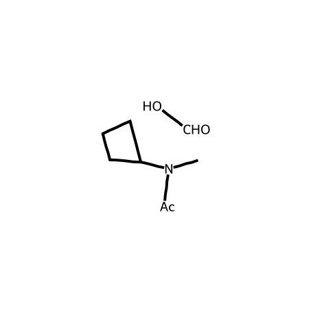 CC(=O)N(C)C1CCC1.O=CO